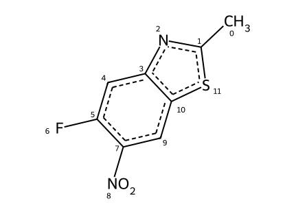 Cc1nc2cc(F)c([N+](=O)[O-])cc2s1